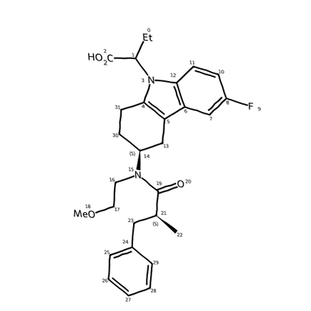 CCC(C(=O)O)n1c2c(c3cc(F)ccc31)C[C@@H](N(CCOC)C(=O)[C@@H](C)Cc1ccccc1)CC2